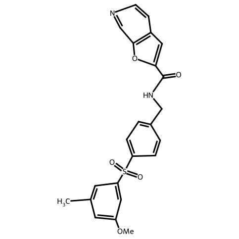 COc1cc(C)cc(S(=O)(=O)c2ccc(CNC(=O)c3cc4ccncc4o3)cc2)c1